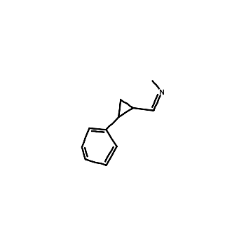 C/N=C\C1CC1c1ccccc1